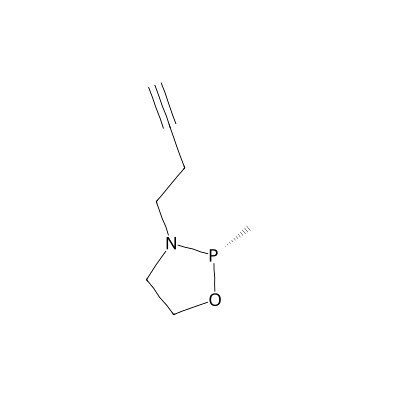 C#CCCN1CCO[P@@]1C